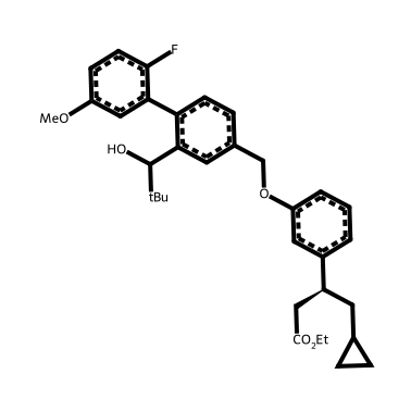 CCOC(=O)C[C@H](CC1CC1)c1cccc(OCc2ccc(-c3cc(OC)ccc3F)c(C(O)C(C)(C)C)c2)c1